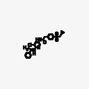 C[C@H](Nc1ncc(NC(=O)Cc2ccc(S(=O)(=O)CC3CC3)cc2)cc1Cl)c1ccccc1